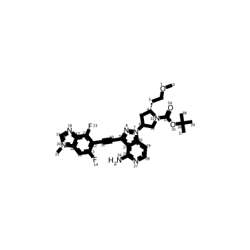 COCC[C@H]1CC(n2nc(C#Cc3c(F)cc4c(ncn4C)c3F)c3c(N)nccc32)CN1C(=O)OC(C)(C)C